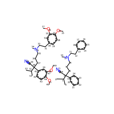 CC(C)C(C#N)(CCCN(C)CCc1ccccc1)c1ccccc1.COc1ccc(CCN(C)CCCC(C#N)(c2ccc(OC)c(OC)c2)C(C)C)cc1OC